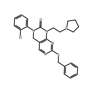 O=C1N(c2ccccc2Cl)Cc2cnc(SCc3ccccc3)nc2N1CCN1CCCC1